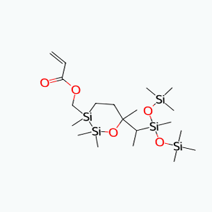 C=CC(=O)OC[Si]1(C)CCC(C)(C(C)[Si](C)(O[Si](C)(C)C)O[Si](C)(C)C)O[Si]1(C)C